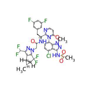 C[C@@H]1[C@@H]2c3c(C(F)F)nn(CC(=O)N[C@@H](Cc4cc(F)cc(F)c4)c4nccc(=O)n4-c4ccc(Cl)c5c(NS(C)(=O)=O)nn(C)c45)c3C(F)(F)[C@H]12